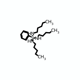 CCCCCN[Si](NCCCCC)(NCCCCC)c1ccccc1